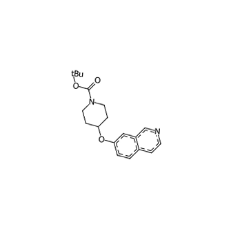 CC(C)(C)OC(=O)N1CCC(Oc2ccc3ccncc3c2)CC1